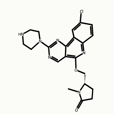 CN1C(=O)CC[C@H]1COc1nc2ccc(Cl)cc2c2nc(N3CCNCC3)ncc12